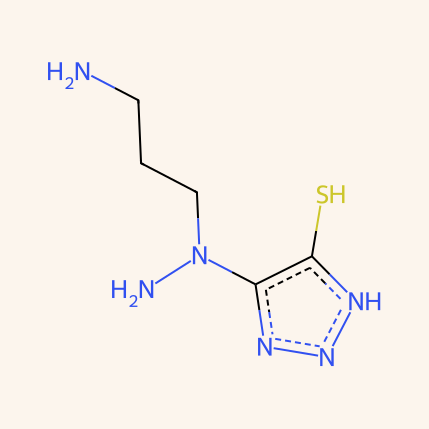 NCCCN(N)c1nn[nH]c1S